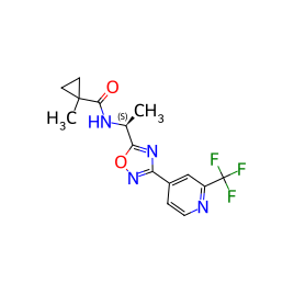 C[C@H](NC(=O)C1(C)CC1)c1nc(-c2ccnc(C(F)(F)F)c2)no1